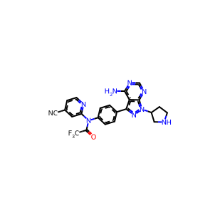 N#Cc1ccnc(N(C(=O)C(F)(F)F)c2ccc(-c3nn(C4CCNC4)c4ncnc(N)c34)cc2)c1